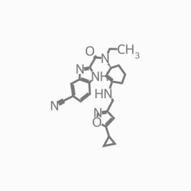 CCN(C(=O)c1nc2cc(C#N)ccc2[nH]1)[C@@H]1C=C(NCc2cc(C3CC3)on2)CCC1